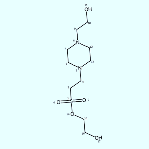 O=S(=O)(CCN1CCN(CCO)CC1)OCCO